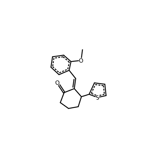 COc1ccccc1/C=C1\C(=O)CCCC1c1cccs1